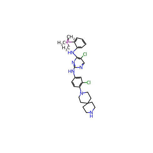 C=P(C)(C)c1ccccc1Nc1nc(Nc2ccc(N3CCC4(CCNCC4)CC3)c(Cl)c2)ncc1Cl